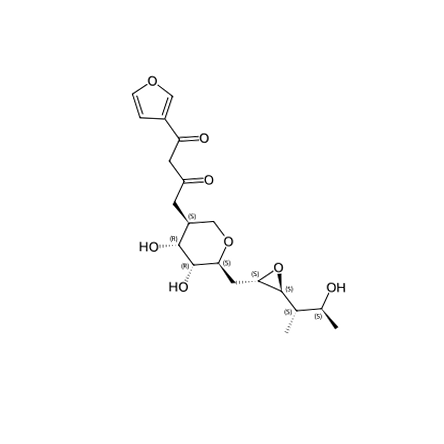 C[C@H]([C@@H]1O[C@H]1C[C@@H]1OC[C@H](CC(=O)CC(=O)c2ccoc2)[C@@H](O)[C@H]1O)[C@H](C)O